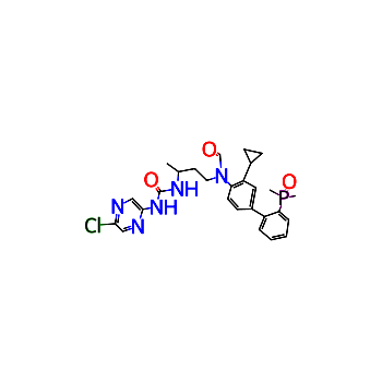 CC(CCN(C=O)c1ccc(-c2ccccc2P(C)(C)=O)cc1C1CC1)NC(=O)Nc1cnc(Cl)cn1